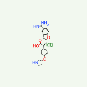 Cl.Cl.N=C(N)c1ccc2oc(CC(C(=O)O)c3ccc(O[C@H]4CCNC4)cc3)cc2c1